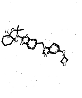 CC1(C)O[C@@H]2CCCC[C@H]2N1c1nc2ccc(Cn3cnc4cc(OC5COC5)ccc43)cc2s1